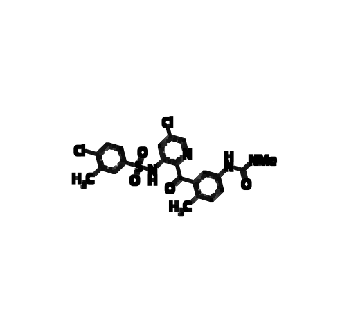 CNC(=O)Nc1ccc(C)c(C(=O)c2ncc(Cl)cc2NS(=O)(=O)c2ccc(Cl)c(C)c2)c1